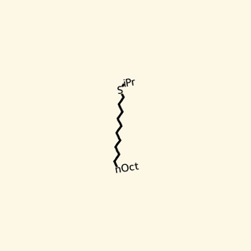 CCCCCCCCCCCCCCCCCCSC(C)C